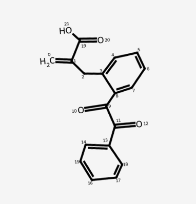 C=C(Cc1ccccc1C(=O)C(=O)c1ccccc1)C(=O)O